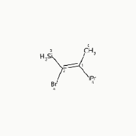 CC(=C([SiH3])Br)C(C)C